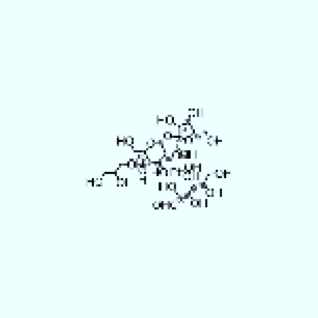 CCO.O=C[C@H](O)[C@@H](O)[C@H](O)[C@H](O)CO.OCC(O)CO.OC[C@H]1O[C@@](CO)(O[C@H]2O[C@H](CO)[C@@H](O)[C@H](O)[C@H]2O)[C@@H](O)[C@@H]1O